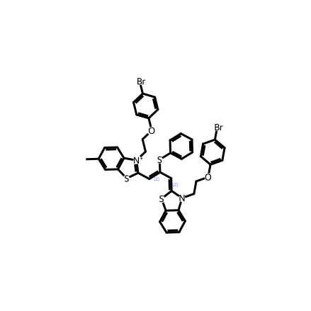 Cc1ccc2c(c1)sc(/C=C(/C=C1\Sc3ccccc3N1CCOc1ccc(Br)cc1)Sc1ccccc1)[n+]2CCOc1ccc(Br)cc1